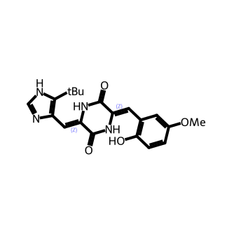 COc1ccc(O)c(/C=c2\[nH]c(=O)/c(=C/c3nc[nH]c3C(C)(C)C)[nH]c2=O)c1